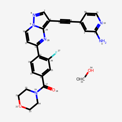 Nc1cc(C#Cc2cnn3ccc(-c4ccc(C(=O)N5CCOCC5)cc4F)nc23)ccn1.O=CO